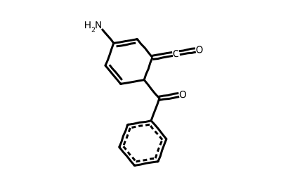 NC1=CC(=C=O)C(C(=O)c2ccccc2)C=C1